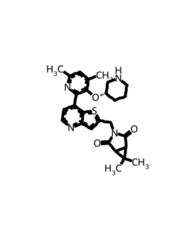 Cc1cc(C)c(O[C@H]2CCCNC2)c(-c2ccnc3cc(CN4C(=O)C5C(C4=O)C5(C)C)sc23)n1